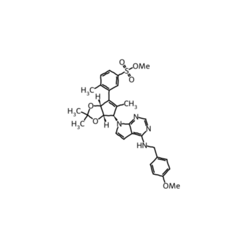 COc1ccc(CNc2ncnc3c2ccn3[C@@H]2C(C)=C(c3cc(S(=O)(=O)OC)ccc3C)[C@H]3OC(C)(C)O[C@H]32)cc1